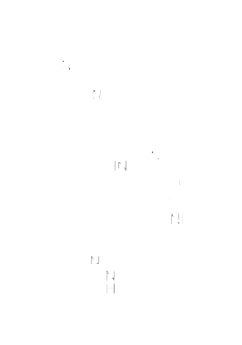 Cc1n[nH]cc1-c1c[nH]c(=O)c(-c2nc3ccc(N4CCN(C)CC4)cc3[nH]2)c1